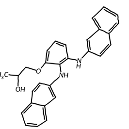 CC(O)COc1cccc(Nc2ccc3ccccc3c2)c1Nc1ccc2ccccc2c1